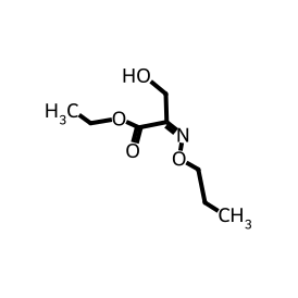 CCCON=C(CO)C(=O)OCC